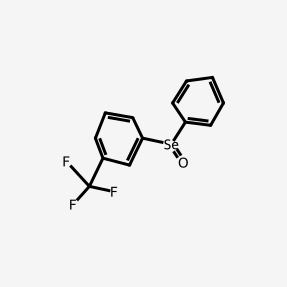 O=[Se](c1ccccc1)c1cccc(C(F)(F)F)c1